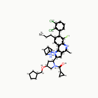 Cc1nc2c(F)c(-c3cccc(Cl)c3Cl)c(CCC#N)cc2c2c1cc(C1CC(OCC3CCCC3)CN1C(=O)C1CC1)n2C1C2CNC1C2